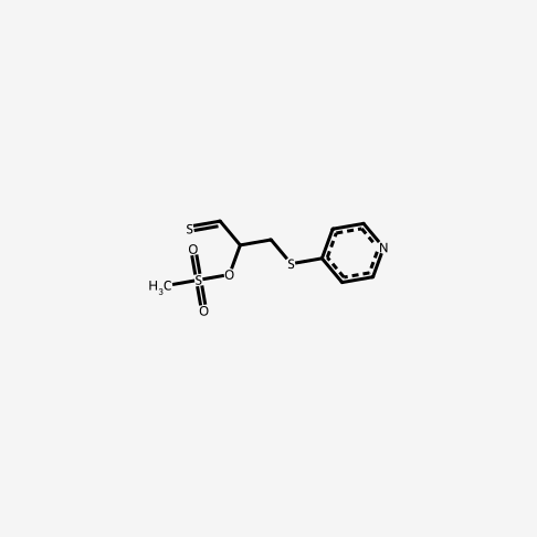 CS(=O)(=O)OC(C=S)CSc1ccncc1